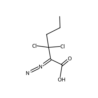 CCCC(Cl)(Cl)C(=[N+]=[N-])C(=O)O